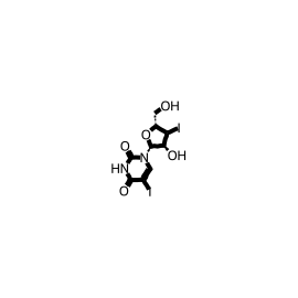 O=c1[nH]c(=O)n([C@@H]2O[C@H](CO)C(I)[C@H]2O)cc1I